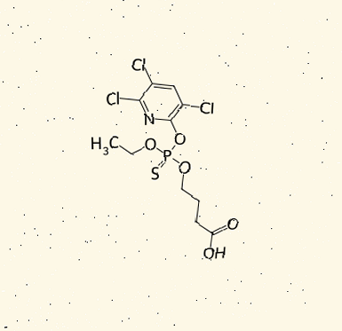 CCOP(=S)(OCCCC(=O)O)Oc1nc(Cl)c(Cl)cc1Cl